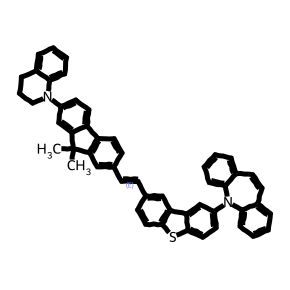 CC1(C)c2cc(/C=C/c3ccc4sc5ccc(N6c7ccccc7C=Cc7ccccc76)cc5c4c3)ccc2-c2ccc(N3CCCc4ccccc43)cc21